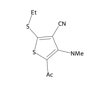 CCSc1sc(C(C)=O)c(NC)c1C#N